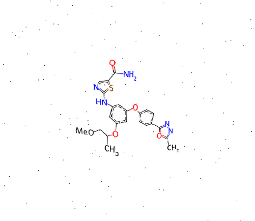 COCC(C)Oc1cc(Nc2ncc(C(N)=O)s2)cc(Oc2ccc(-c3nnc(C)o3)cc2)c1